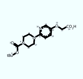 CC(C)(C)OC(=O)N1CCN(c2ccc(OCC(=O)O)cn2)CC1